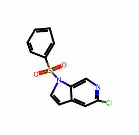 O=S(=O)(c1ccccc1)n1ccc2cc(Cl)ncc21